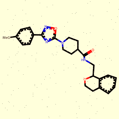 COc1ccc(-c2noc(N3CCC(C(=O)NCC4OCCc5ccccc54)CC3)n2)cc1